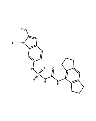 Cc1nc2ccc(NS(=O)(=O)NC(=O)Nc3c4c(cc5c3CCC5)CCC4)cc2n1C